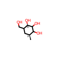 C[C@H]1CC(CO)[C@@H](O)C(O)C1O